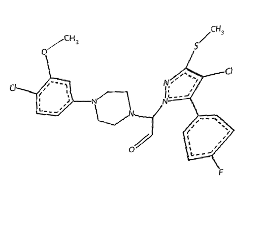 COc1cc(N2CCN(C(C=O)n3nc(SC)c(Cl)c3-c3ccc(F)cc3)CC2)ccc1Cl